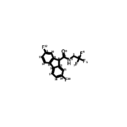 O=C(NCC(F)(F)F)C1c2cc(F)ccc2-c2ccc(F)cc21